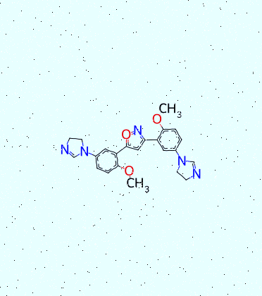 COc1ccc(N2C=NCC2)cc1-c1cc(-c2cc(N3C=NCC3)ccc2OC)on1